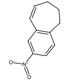 O=[N+]([O-])c1ccc2c(c1)C=CCCC2